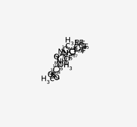 CCc1nc(C(=O)NC[C@]2(O)CC[C@@H](S(C)(=O)=O)CC2)c(C)n1-c1ccc(CC(C(F)(F)F)C(F)(F)F)cc1F